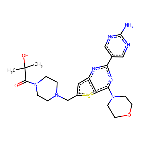 CC(C)(O)C(=O)N1CCN(Cc2cc3nc(-c4cnc(N)nc4)nc(N4CCOCC4)c3s2)CC1